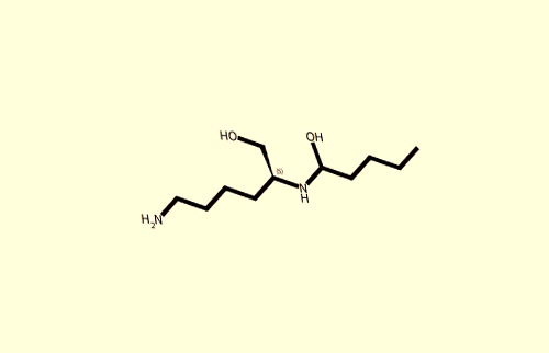 CCCCC(O)N[C@H](CO)CCCCN